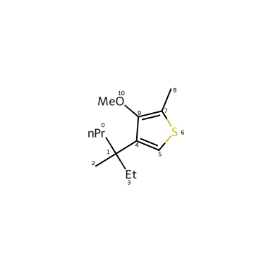 CCCC(C)(CC)c1csc(C)c1OC